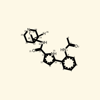 CC(=O)Nc1ccccc1-c1ccc(C(=O)N[C@H]2CN3CCC2CC3)[nH]1